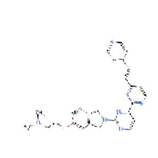 CN(C)CCOc1ccc2c(c1)CN(c1nccc(-c3nccc(/C=C/c4ccncc4)n3)n1)C2